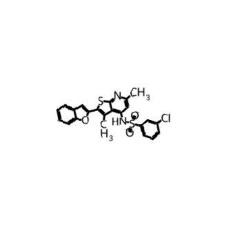 Cc1cc(NS(=O)(=O)c2cccc(Cl)c2)c2c(C)c(-c3cc4ccccc4o3)sc2n1